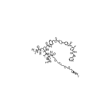 CC(C)[C@H](NC(=O)[C@H](CS(=O)(=O)O)NC(=O)CCOCCOCCOCCOCCON)C(=O)N[C@@H](CCCNC(N)=O)C(=O)Nc1ccc(COC(=O)N2CCN(c3ccc(C(=O)NCc4ccc(NC(=O)[C@H]5C[C@@H]5c5cccnc5)cc4F)cc3)CC2)cc1